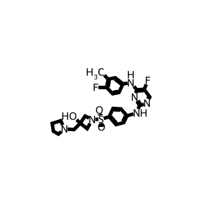 Cc1cc(Nc2nc(Nc3ccc(S(=O)(=O)N4CC(O)(CN5CCCC5)C4)cc3)ncc2F)ccc1F